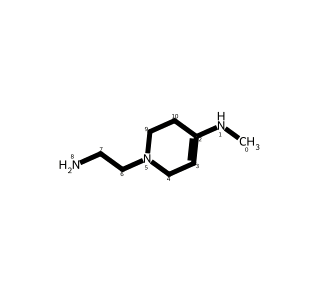 CNC1=CCN(CCN)CC1